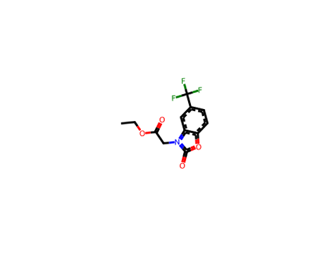 CCOC(=O)Cn1c(=O)oc2ccc(C(F)(F)F)cc21